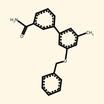 Cc1cc(OCc2ccccc2)cc(-c2cccc(C(N)=O)c2)c1